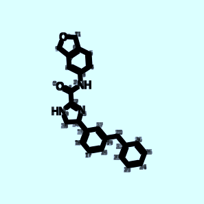 O=C(Nc1ccc2c(c1)COC2)C1=NC(c2cccc(Cc3ccccc3)c2)CN1